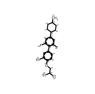 CCc1cc(-c2c(F)cc(C3CCC(C)CC3)cc2F)ccc1OCC(CC)CC